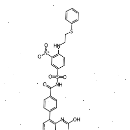 O=C(NS(=O)(=O)c1ccc(NCCSc2ccccc2)c([N+](=O)[O-])c1)c1ccc(-c2cccc3ccc(O)nc23)cc1